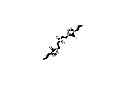 C/C=C/n1nnn(CCS(=O)(=O)CCn2nnn(/C=C/C)c2=O)c1=O